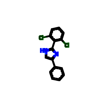 Clc1cccc(Cl)c1-c1nc(-c2ccccc2)c[nH]1